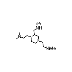 CNCCN1CCN(CCN(C)C)C(CNC(C)C)C1